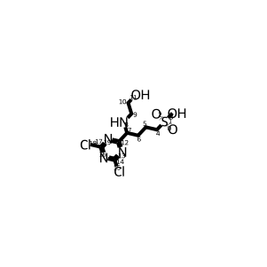 O=S(=O)(O)CCCC(NCCO)c1nc(Cl)nc(Cl)n1